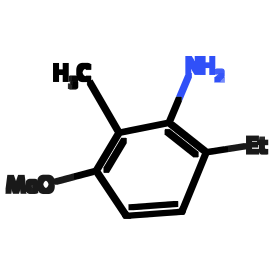 CCc1ccc(OC)c(C)c1N